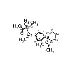 CCOC1(c2ccc([C@@H]3[C@H](C)[C@H]3[N+](C)(OC)C(C)=O)cc2C)C=CC=CC1